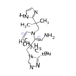 C/C=C\N(CC(C)(C)c1ncc[nH]1)/C(=C\N)C(C)(C)Cn1cnnc1C(C)(C)C